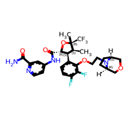 C[C@H]1[C@@H](c2ccc(F)c(F)c2OCCN2[C@@H]3CC[C@H]2COC3)[C@H](C(=O)Nc2ccnc(C(N)=O)c2)O[C@@]1(C)C(F)(F)F